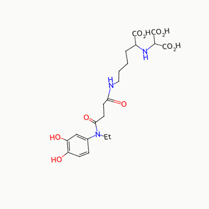 CCN(C(=O)CCC(=O)NCCCCC(NC(C(=O)O)C(=O)O)C(=O)O)c1ccc(O)c(O)c1